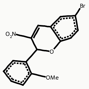 COc1ccccc1C1Oc2ccc(Br)cc2C=C1[N+](=O)[O-]